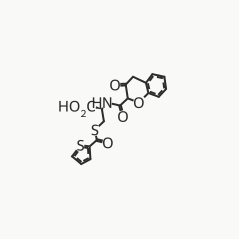 O=C(SC[C@H](NC(=O)C1Oc2ccccc2CC1=O)C(=O)O)c1cccs1